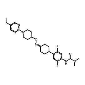 CCc1cnc(N2CCC(ON=C3CCC(c4cc(F)c(NC(=O)N(C)C)cc4F)CC3)CC2)nc1